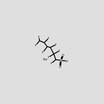 O=S(=O)([O-])C(F)C(F)(F)C(F)C(F)C(F)C(F)F.[Na+]